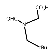 CC(C)(C)CN(C=O)CC(=O)O